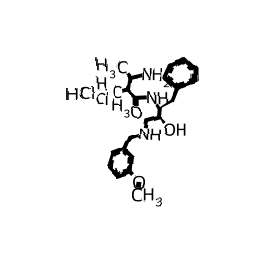 COc1cccc(CNC[C@H](O)[C@H](Cc2ccccc2)NC(=O)C(C)C(C)N)c1.Cl.Cl